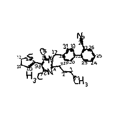 CCCCc1nc(C)c(C2=CCCS2)c(=O)n1Cc1ccc(-c2ccccc2C#N)cc1